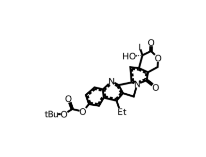 CCc1c2c(nc3ccc(OC(=O)OC(C)(C)C)cc13)-c1cc3c(c(=O)n1C2)COC(=O)[C@]3(O)I